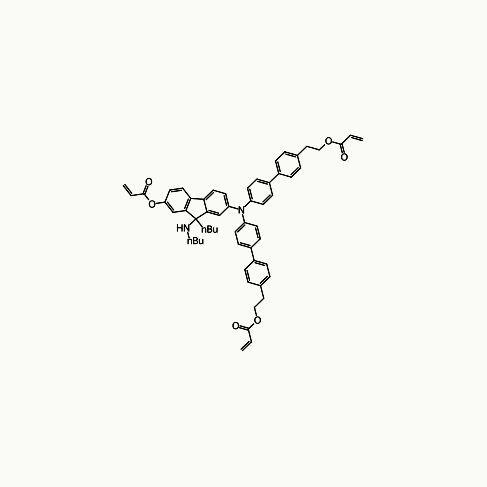 C=CC(=O)OCCc1ccc(-c2ccc(N(c3ccc(-c4ccc(CCOC(=O)C=C)cc4)cc3)c3ccc4c(c3)C(CCCC)(NCCCC)c3cc(OC(=O)C=C)ccc3-4)cc2)cc1